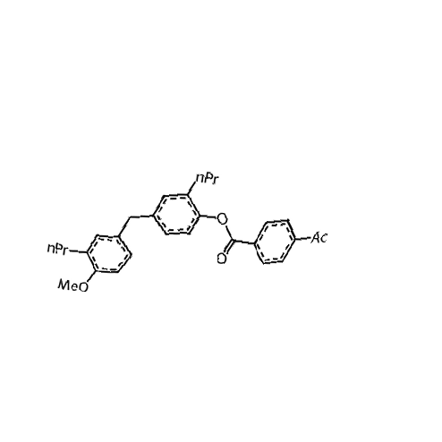 CCCc1cc(Cc2ccc(OC(=O)c3ccc(C(C)=O)cc3)c(CCC)c2)ccc1OC